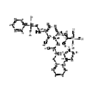 O=C(NCc1ccccc1-n1cnnc1)C(OC(=O)C(F)(F)F)n1c(Cl)cnc(NCC(F)(F)c2ccccn2)c1=O